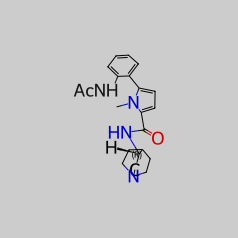 CC(=O)Nc1ccccc1-c1ccc(C(=O)N[C@H]2CN3CCC2CC3)n1C